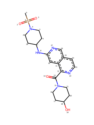 CS(=O)(=O)N1CCC(Nc2cc3c(C(=O)N4CCC(O)CC4)nccc3cn2)CC1